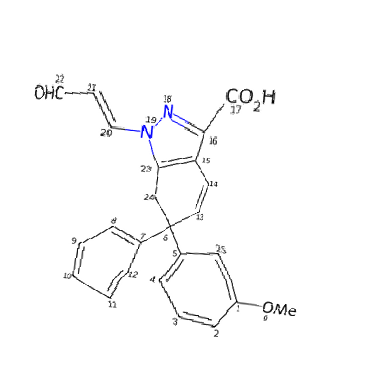 COc1cccc(C2(c3ccccc3)C=Cc3c(C(=O)O)nn(C=CC=O)c3C2)c1